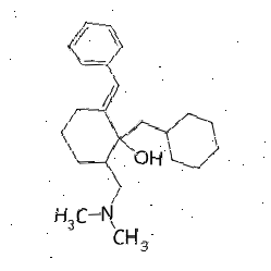 CN(C)CC1CCCC(=Cc2ccccc2)C1(O)CC1CCCCC1